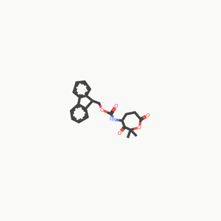 CC1(C)OC(=O)CCC(NC(=O)OCC2c3ccccc3-c3ccccc32)C1=O